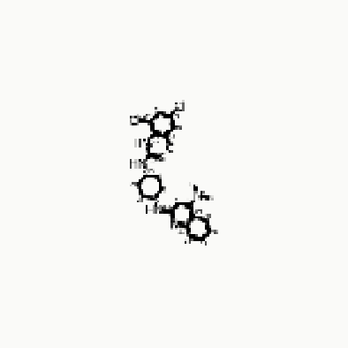 CN(C)c1cc(N[C@H]2CC[C@@H](NC(=S)Nc3c(Cl)cc(Cl)cc3Cl)CC2)nc2ccccc12